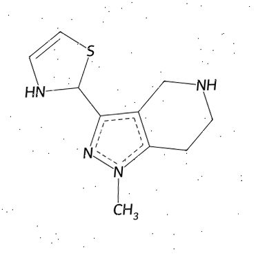 Cn1nc(C2NC=CS2)c2c1CCNC2